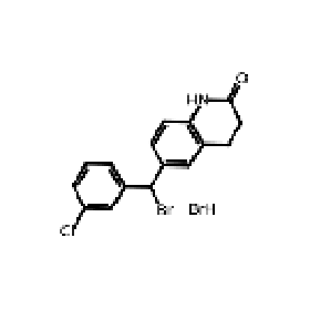 Br.O=C1CCc2cc(C(Br)c3cccc(Cl)c3)ccc2N1